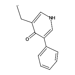 [CH2]Cc1c[nH]cc(-c2ccccc2)c1=O